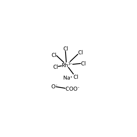 O=C([O-])[O-].[Cl][Rh-3]([Cl])([Cl])([Cl])([Cl])[Cl].[Na+]